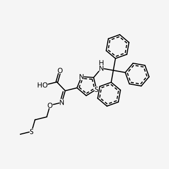 CSCCO/N=C(\C(=O)O)c1csc(NC(c2ccccc2)(c2ccccc2)c2ccccc2)n1